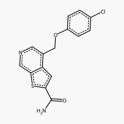 NC(=O)c1cc2c(COc3ccc(Cl)cc3)cncc2s1